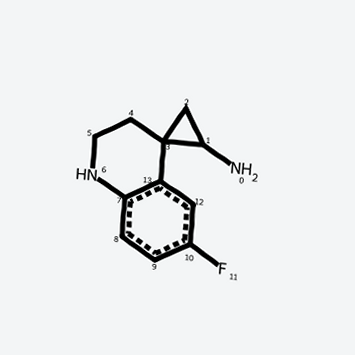 NC1CC12CCNc1ccc(F)cc12